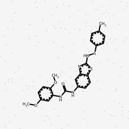 COc1ccc(OC)c(NC(=O)Nc2ccc3sc(NSc4ccc(C)cc4)nc3c2)c1